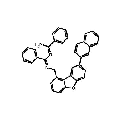 N/C(=N\C(=N/Cc1cccc2oc3ccc(-c4ccc5ccccc5c4)cc3c12)c1ccccc1)c1ccccc1